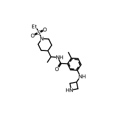 CCS(=O)(=O)N1CCC(C(C)NC(=O)c2cc(NC3CNC3)ccc2C)CC1